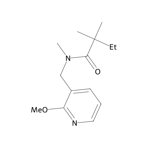 CCC(C)(C)C(=O)N(C)Cc1cccnc1OC